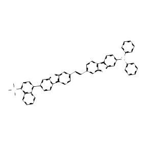 C[Si](C)(C)c1ccc(-c2ccc3c(c2)oc2cc(/C=C/c4ccc5c(c4)oc4cc(N(c6ccccc6)c6ccccc6)ccc45)ccc23)c2ccccc12